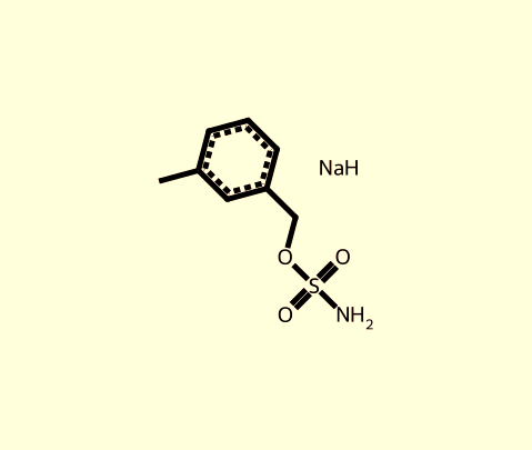 Cc1cccc(COS(N)(=O)=O)c1.[NaH]